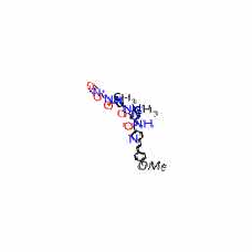 COc1ccc(/C=C/c2ccc(C(=O)Nc3cc(C(=O)Nc4cc(C(=O)NCC[N+]5([O-])CCOCC5)n(C)c4)n(C)c3)cn2)cc1